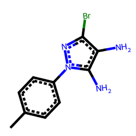 Cc1ccc(-n2nc(Br)c(N)c2N)cc1